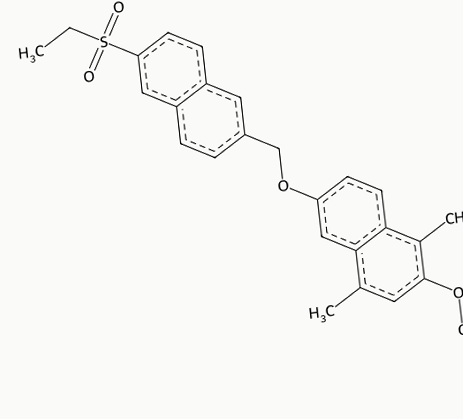 CCS(=O)(=O)c1ccc2cc(COc3ccc4c(C)c(OC)cc(C)c4c3)ccc2c1